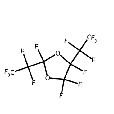 FC(F)(F)C(F)(F)C1(F)OC(F)(F)C(F)(C(F)(F)C(F)(F)F)O1